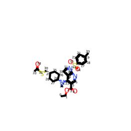 CCOC(=O)c1cnc2c(ccn2S(=O)(=O)c2ccc(C)cc2)c1N(C)[C@H]1CC[C@H](CSC(C)=O)CC1